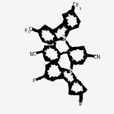 N#Cc1ccc(-c2c(-n3c4ccc(F)cc4c4cc(F)ccc43)cc(C#N)cc2-n2c3ccc(C(F)(F)F)cc3c3cc(C(F)(F)F)ccc32)c(F)c1